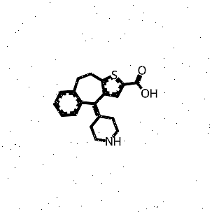 O=C(O)c1cc2c(s1)CCc1ccccc1C2=C1CCNCC1